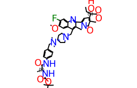 CC[C@@]1(O)C(=O)OCc2c1cc1n(c2=O)Cc2c-1nc1cc(F)c(OC)cc1c2CN1CCC([N+](C)(C)Cc2ccc(NC(=O)[C@H](C)NC(=O)OC(C)(C)C)cc2)CC1